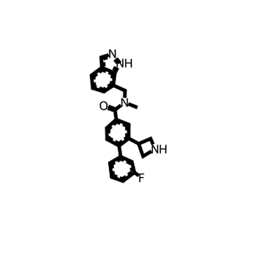 CN(Cc1cccc2cn[nH]c12)C(=O)c1ccc(-c2cccc(F)c2)c(C2CNC2)c1